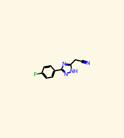 N#CCc1nc(-c2ccc(F)cc2)n[nH]1